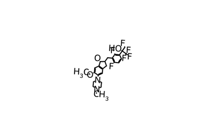 COc1cc2c(cc1N1CCN(C)CC1)CC(Cc1c(F)ccc(C(O)(CF)C(F)(F)F)c1F)C2=O